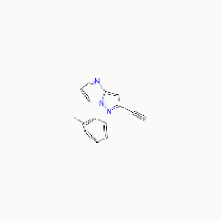 C#Cc1cc2ncccn2n1.Cc1ccccc1